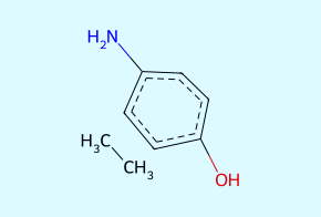 CC.Nc1ccc(O)cc1